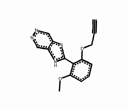 C#CCOc1cccc(OC)c1-c1nc2cnncc2[nH]1